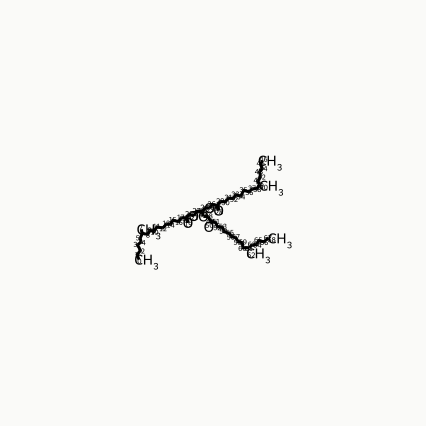 CCCCCCC(C)CCCCCCCCCCC(=O)COCC(COCC(=O)CCCCCCCCCCC(C)CCCCCC)OCC(=O)CCCCCCCCCCC(C)CCCCCC